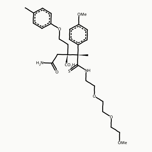 COCCOCCOCCNC(=S)[C@@](C)(c1ccc(OC)cc1)[C@@](CCOc1ccc(C)cc1)(CC(N)=O)C(=O)O